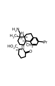 CC(C)c1ccc2c(c1)CC[C@H]1[C@@](C)(CN)CCC[C@]21C.O=C1CCC[C@H](C(=O)O)N1